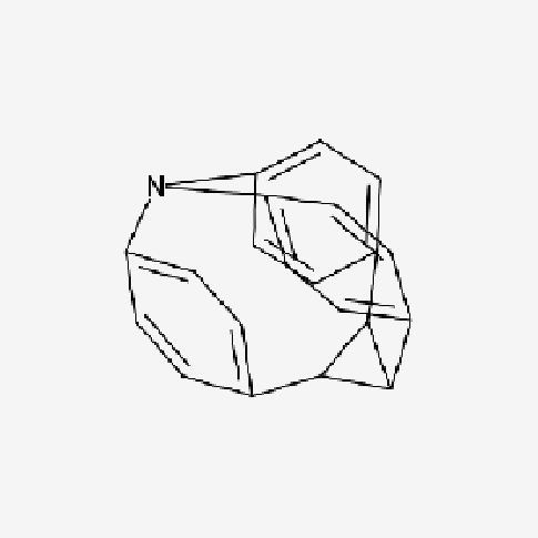 c1cc2ccc1C1C3c4ccc(cc4)N2c2ccc(cc2)C13